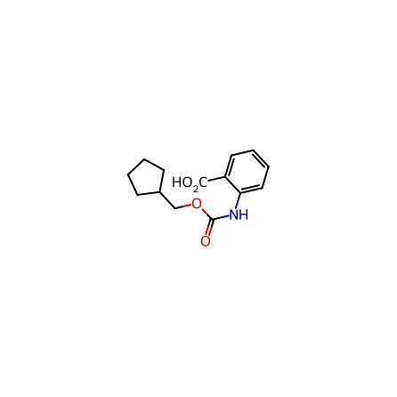 O=C(Nc1ccccc1C(=O)O)OCC1CCCC1